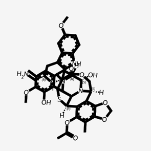 COc1ccc2[nH]c3c(c2c1)C[C@H](CN)N[C@]31CS[C@@H]2c3c(OC(C)=O)c(C)c4c(c3[C@H](COC1=O)N1C2C2c3c(cc(C)c(OC)c3O)C[C@H]([C@@H]1O)N2C)OCO4